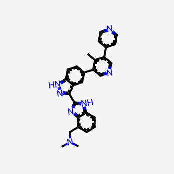 Cc1c(-c2ccncc2)cncc1-c1ccc2[nH]nc(-c3nc4c(CN(C)C)cccc4[nH]3)c2c1